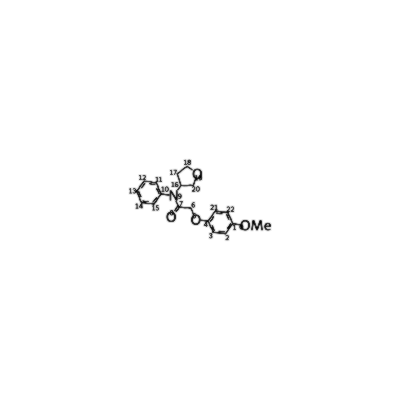 COc1ccc(OCC(=O)N(c2ccccc2)C2CCOC2)cc1